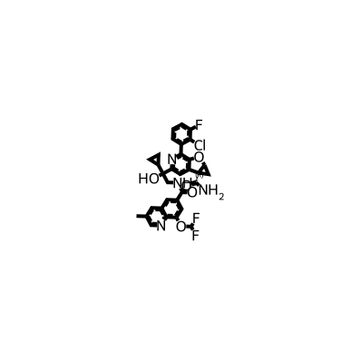 Cc1cnc2c(OC(F)F)cc(C(=O)NCC(O)(c3cc4c(c(-c5cccc(F)c5Cl)n3)OC3C[C@@]43C(N)=O)C3CC3)cc2c1